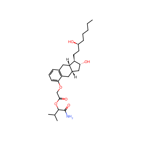 CCCCC[C@H](O)CC[C@@H]1[C@H]2Cc3cccc(OCC(=O)OC(C(N)=O)C(C)C)c3C[C@H]2C[C@H]1O